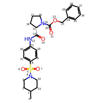 CC1CCN(S(=O)(=O)c2ccc(NC(=O)[C@@H]3CCCN3C(=O)OCc3ccccc3)cc2)CC1